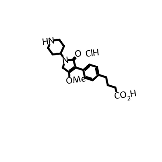 COC1=C(c2ccc(CCCC(=O)O)cc2)C(=O)N(C2CCNCC2)C1.Cl